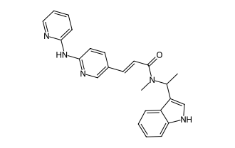 CC(c1c[nH]c2ccccc12)N(C)C(=O)/C=C/c1ccc(Nc2ccccn2)nc1